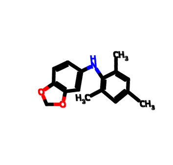 Cc1cc(C)c(Nc2ccc3c(c2)OCO3)c(C)c1